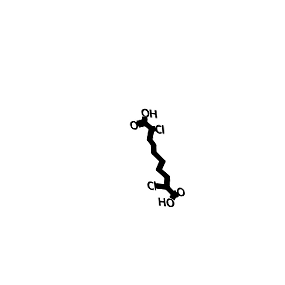 O=C(O)C(Cl)CCCCCCC(Cl)C(=O)O